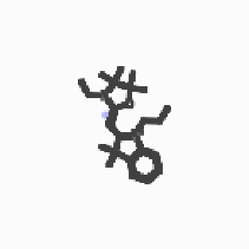 CCC[N+]1=C(/C=C2\OC(C)(C)C(C)(C)N2CC)C(C)(C)c2ccccc21